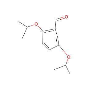 CC(C)Oc1ccc(OC(C)C)c(C=O)c1